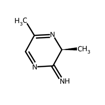 CC1=N[C@@H](C)C(=N)N=C1